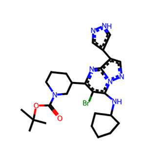 CC(C)(C)OC(=O)N1CCCC(c2nc3c(-c4cn[nH]c4)cnn3c(NC3CCCCC3)c2Br)C1